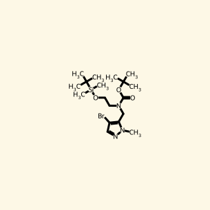 Cn1ncc(Br)c1CN(CCO[Si](C)(C)C(C)(C)C)C(=O)OC(C)(C)C